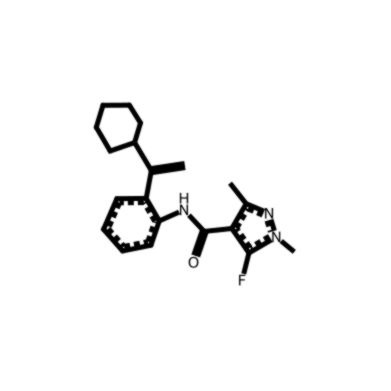 C=C(c1ccccc1NC(=O)c1c(C)nn(C)c1F)C1CCCCC1